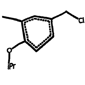 Cc1cc(CCl)ccc1OC(C)C